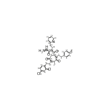 CC1C(=O)N(CCc2ccc(F)cc2)C(C(=O)N(CCc2ccccn2)C(=O)NN)CC(=O)N1CCc1ccc(Cl)cc1Cl